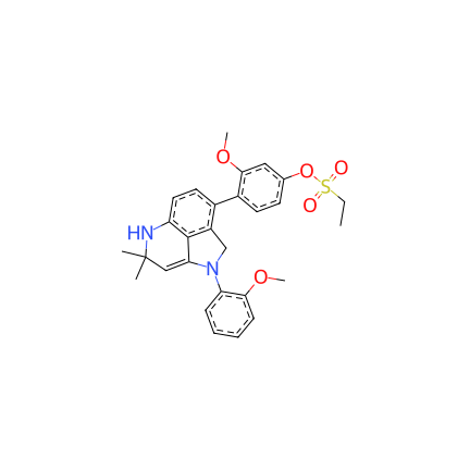 CCS(=O)(=O)Oc1ccc(-c2ccc3c4c2CN(c2ccccc2OC)C4=CC(C)(C)N3)c(OC)c1